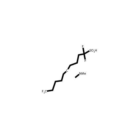 CNC.O=S(=O)(O)C(F)(F)CCCCCCCCC(F)(F)F